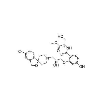 COC(=O)[C@H](CO)NC(=O)c1ccc(O)cc1OC[C@@H](O)CN1CCC2(CC1)OCc1cc(Cl)ccc12